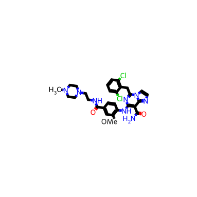 COc1cc(C(=O)NCCN2CCN(C)CC2)ccc1Nc1nc(Cc2c(Cl)cccc2Cl)n2ccnc2c1C(N)=O